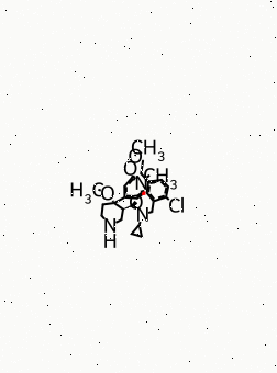 COCCc1ccc(Cl)c(CN(C(=O)[C@H]2CNCC[C@]2(OC)c2ccn(C)c(=O)c2)C2CC2)c1